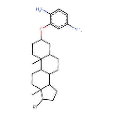 CCC1CCC2C3CCC4CC(Oc5cc(N)ccc5N)CCC4(C)C3CCC12C